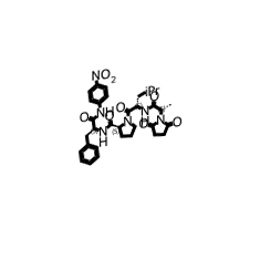 CC(C)C[C@H](NC(=O)[C@H](C)N1C(=O)CCC1=O)C(=O)N1CCC[C@H]1C(=O)N[C@@H](Cc1ccccc1)C(=O)Nc1ccc([N+](=O)[O-])cc1